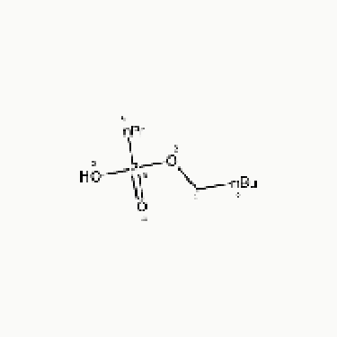 CCCCCOP(=O)(O)CCC